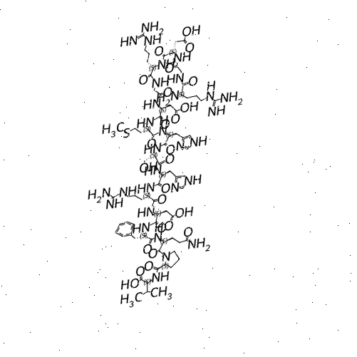 CSCC[C@H](NC(=O)[C@H](CC(=O)O)NC(=O)CNC(=O)[C@H](CCCNC(=N)N)NC(=O)[C@H](CC(=O)O)NC(=O)CNC(=O)[C@@H](N)CCCNC(=N)N)C(=O)N[C@@H](Cc1c[nH]cn1)C(=O)N[C@@H](CO)C(=O)N[C@@H](Cc1c[nH]cn1)C(=O)N[C@@H](CCCNC(=N)N)C(=O)N[C@@H](CC(=O)O)C(=O)N[C@@H](Cc1ccccc1)C(=O)N[C@@H](CCC(N)=O)C(=O)N1CCC[C@H]1C(=O)N[C@H](C(=O)O)C(C)C